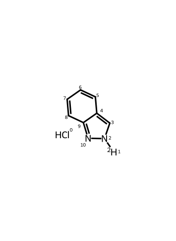 Cl.[2H]n1cc2ccccc2n1